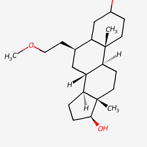 COCC[C@@H]1C[C@H]2[C@@H]3CC[C@H](O)[C@@]3(C)CC[C@@H]2[C@@]2(C)CCC(O)CC12